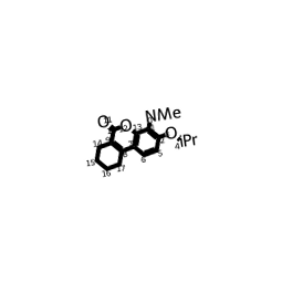 CNc1c(OC(C)C)ccc2c3c(c(=O)oc12)CCCC3